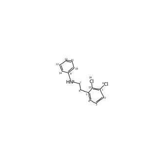 Clc1cccc(CCNc2cc[c]cc2)c1Cl